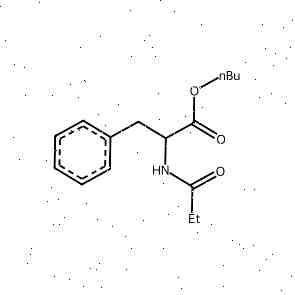 CCCCOC(=O)C(Cc1ccccc1)NC(=O)CC